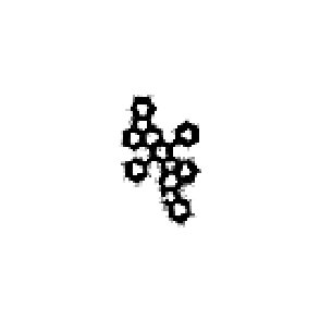 c1ccc(-c2c3cc4c5ccccc5c5cccc(c3c(-c3ccccc3)c3c6cc7sc8ccccc8c7c7cccc(c23)c67)c54)cc1